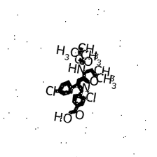 CC(C)(C)OC(=O)NC1CC(C)(C)Oc2nc(-c3ccc(C(=O)CO)cc3Cl)c(-c3ccc(Cl)cc3)cc21